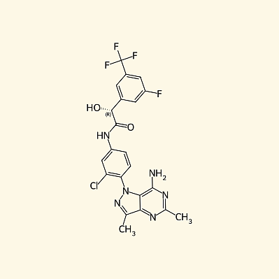 Cc1nc(N)c2c(n1)c(C)nn2-c1ccc(NC(=O)[C@H](O)c2cc(F)cc(C(F)(F)F)c2)cc1Cl